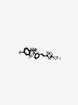 O=S(=O)(Nc1ccc(F)cc1F)c1cccc(/C=C/c2noc(C(F)(F)F)n2)c1